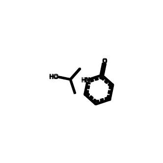 CC(C)O.O=c1cccc[nH]1